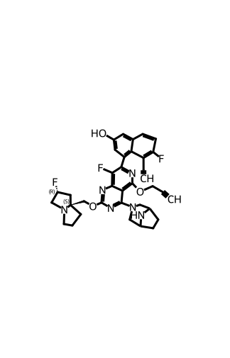 C#CCOc1nc(-c2cc(O)cc3ccc(F)c(C#C)c23)c(F)c2nc(OC[C@@]34CCCN3C[C@H](F)C4)nc(N3CC4CCC(C3)N4)c12